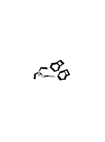 C1=Cc2ccccc21.C1=Cc2ccccc21.C=C[SiH](C=C)O[SiH3]